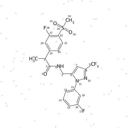 CC(C(=O)NCc1cc(C(F)(F)F)nn1-c1cccc(F)c1)c1ccc(S(C)(=O)=O)c(F)c1